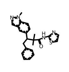 Cn1ncc2cc(C(Cc3ccccc3)C(C)(C)C(=O)Nc3nccs3)ccc21